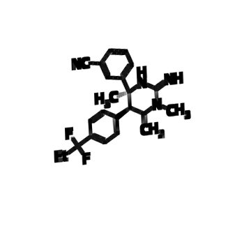 C=C1[C@@H](c2ccc(C(F)(F)CC)cc2)[C@@](C)(c2cccc(C#N)c2)NC(=N)N1C